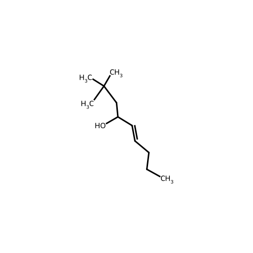 CCCC=CC(O)CC(C)(C)C